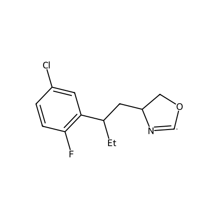 CCC(CC1CO[C]=N1)c1cc(Cl)ccc1F